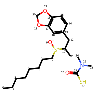 CCCCCCCC[S+]([O-])C(C)Cc1ccc2c(c1)OCO2.CN(C)C(=O)S